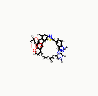 Cc1cc2nc3sc2c(c1C(OC(C)(C)C)C(=O)O)-c1ccc2c(c1)C(CCCC(C)CC1CN(C)CCN1c1nn(C)c4ccc-3cc14)CCO2